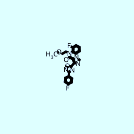 COCCn1c(=O)c2c(-c3nc(-c4ccc(F)cc4)no3)ncn2c2cccc(F)c21